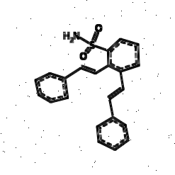 NS(=O)(=O)c1cccc(C=Cc2ccccc2)c1C=Cc1ccccc1